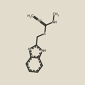 C=[N+]=C(NC)SCc1nc2ccccc2[nH]1